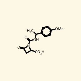 COc1ccc(C(C)NC(=O)N2C(=O)CC2C(=O)O)cc1